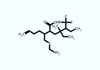 C=CCCC(CSCN)C(CC(C)(CC)C(CC)C(F)(F)F)C(=O)O